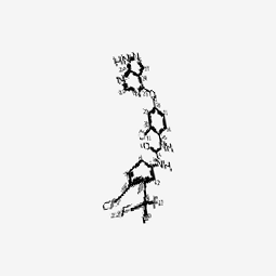 O=C(Nc1ccc(Cl)c(C(F)(F)F)c1)Nc1ccc(Oc2ncnc3[nH]ncc23)cc1Cl